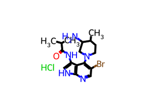 CC(C)C(=O)Nc1c[nH]c2ncc(Br)c(N3CCC(C)C(N)C3)c12.Cl